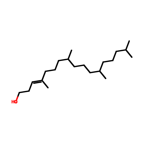 C/C(=C\CCO)CCCC(C)CCCC(C)CCCC(C)C